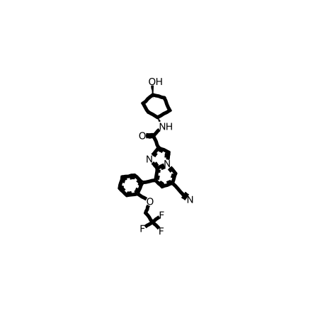 N#Cc1cc(-c2ccccc2OCC(F)(F)F)c2nc(C(=O)N[C@H]3CC[C@H](O)CC3)cn2c1